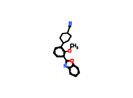 COc1c(-c2nc3ccccc3o2)cccc1C1CCC(C#N)CC1